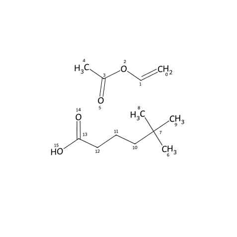 C=COC(C)=O.CC(C)(C)CCCC(=O)O